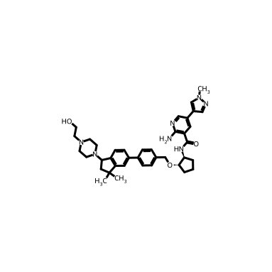 Cn1cc(-c2cnc(N)c(C(=O)N[C@H]3CCC[C@@H]3OCc3ccc(-c4ccc5c(c4)C(C)(C)CC5N4CCN(CCO)CC4)cc3)c2)cn1